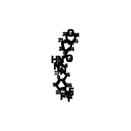 O=C(Nc1cn(Cc2cccc(C(F)(F)F)c2)cn1)c1ccc2c(c1)CCOC2